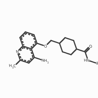 Cc1cc(N)c2c(OCC3CCC(C(=O)NC(C)C)CC3)cccc2n1